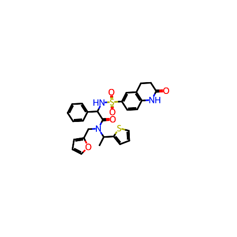 CC(c1cccs1)N(Cc1ccco1)C(=O)C(NS(=O)(=O)c1ccc2c(c1)CCC(=O)N2)c1ccccc1